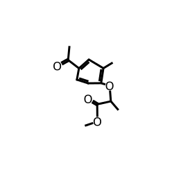 COC(=O)C(C)Oc1ccc(C(C)=O)cc1C